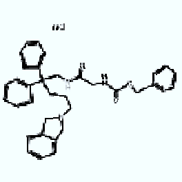 Cl.O=C(CNC(=O)OCc1ccccc1)NCC(CCCN1Cc2ccccc2C1)(c1ccccc1)c1ccccc1